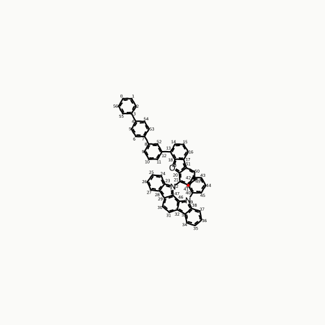 c1ccc(-c2ccc(-c3cccc(-c4cccc5c4oc4c(-n6c7ccccc7c7ccc8c9ccccc9n(-c9ccccc9)c8c76)cccc45)c3)cc2)cc1